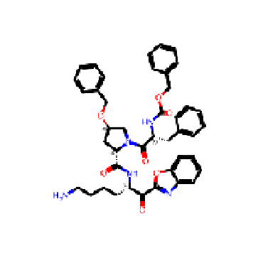 NCCCC[C@H](NC(=O)[C@@H]1C[C@@H](OCc2ccccc2)CN1C(=O)[C@@H](Cc1ccccc1)NC(=O)OCc1ccccc1)C(=O)c1nc2ccccc2o1